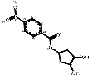 O=C(OC1CC(O)C(O)C1)c1ccc([N+](=O)[O-])cc1